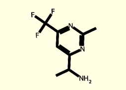 Cc1nc(C(C)N)cc(C(F)(F)F)n1